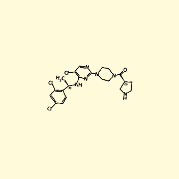 C[C@@H](Nc1nc(N2CCN(C(=O)[C@H]3CCNC3)CC2)ncc1Cl)c1ccc(Cl)cc1Cl